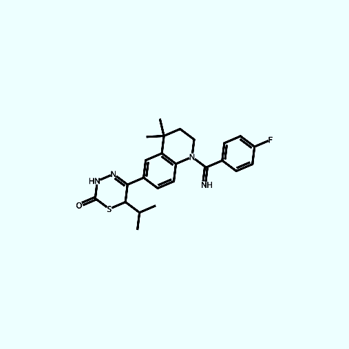 CC(C)C1SC(=O)NN=C1c1ccc2c(c1)C(C)(C)CCN2C(=N)c1ccc(F)cc1